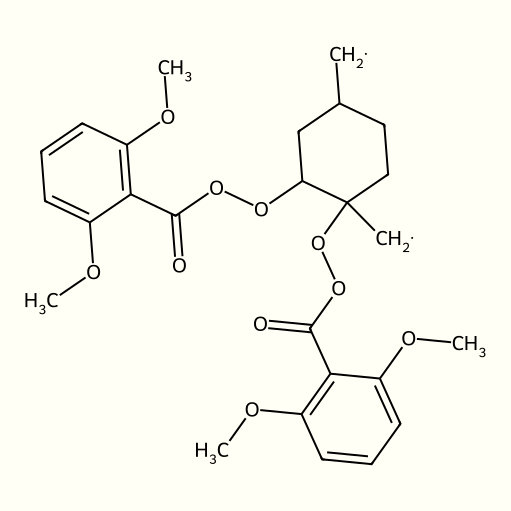 [CH2]C1CCC([CH2])(OOC(=O)c2c(OC)cccc2OC)C(OOC(=O)c2c(OC)cccc2OC)C1